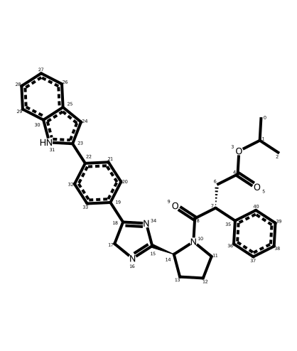 CC(C)OC(=O)C[C@@H](C(=O)N1CCC[C@H]1C1=NCC(c2ccc(-c3cc4ccccc4[nH]3)cc2)=N1)c1ccccc1